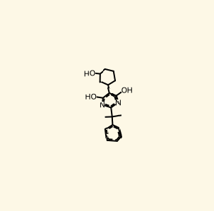 CC(C)(c1ccccc1)c1nc(O)c(C2CCCC(O)C2)c(O)n1